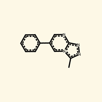 Cc1nnc2ncc(-c3ccccc3)cn12